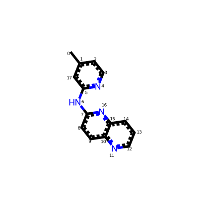 Cc1ccnc(Nc2ccc3ncccc3n2)c1